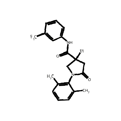 CCC1(C(=O)Nc2cccc(C(F)(F)F)c2)CC(=O)N(c2c(C)cccc2C)C1